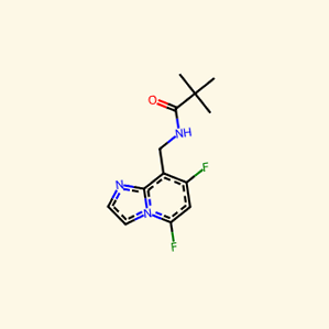 CC(C)(C)C(=O)NCc1c(F)cc(F)n2ccnc12